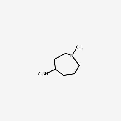 CC(=O)NC1CCCN(C)CC1